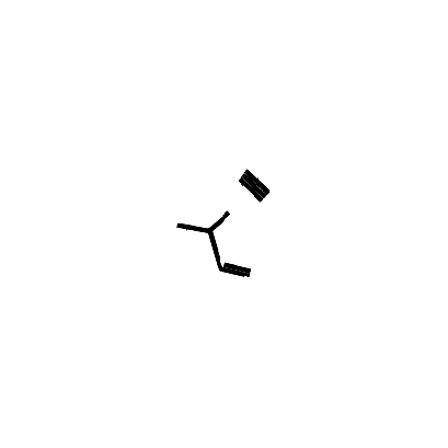 C#C.C=CC(C)C